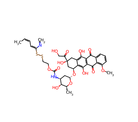 C=N/C(=C\C=C/C)SSCCOC(=O)N[C@H]1C[C@H](O[C@H]2C[C@](O)(C(=O)CO)Cc3c(O)c4c(c(O)c32)C(=O)c2c(OC)cccc2C4=O)O[C@@H](C)[C@H]1O